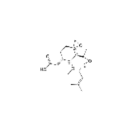 CO[C@@H]1C(=CC(=O)O)CC[C@]2(CO2)[C@H]1C1(C)O[C@@H]1CC=C(C)C